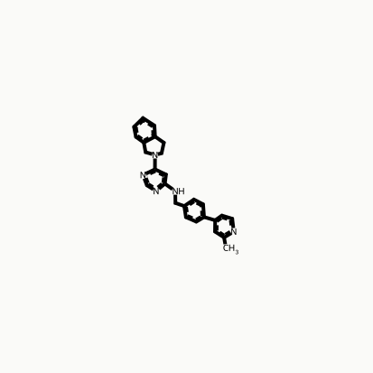 Cc1cc(-c2ccc(CNc3cc(N4CCc5ccccc5C4)ncn3)cc2)ccn1